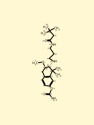 CO[C@@H]1Cc2ccc(OC(N)=O)cc2C(C)(C)[C@H]1NCCCNC(=O)CC(C)(C)C